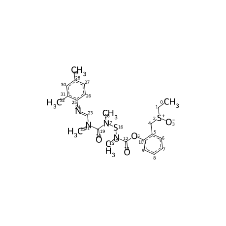 CC[S+]([O-])Cc1ccccc1OC(=O)N(C)SN(C)C(=O)N(C)C=Nc1ccc(C)cc1C